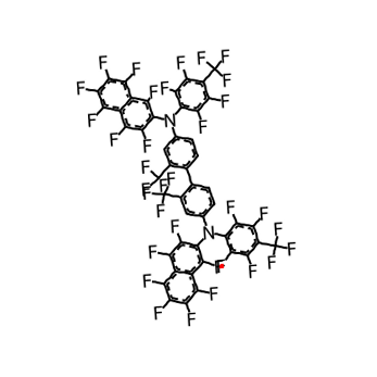 Fc1c(F)c(C(F)(F)F)c(F)c(F)c1N(c1ccc(-c2ccc(N(c3c(F)c(F)c(C(F)(F)F)c(F)c3F)c3c(F)c(F)c4c(F)c(F)c(F)c(F)c4c3F)cc2C(F)(F)F)c(C(F)(F)F)c1)c1c(F)c(F)c2c(F)c(F)c(F)c(F)c2c1F